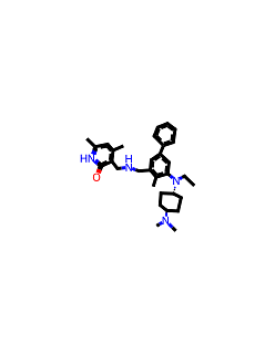 CCN(c1cc(-c2ccccc2)cc(CNCc2c(C)cc(C)[nH]c2=O)c1C)[C@H]1CC[C@H](N(C)C)CC1